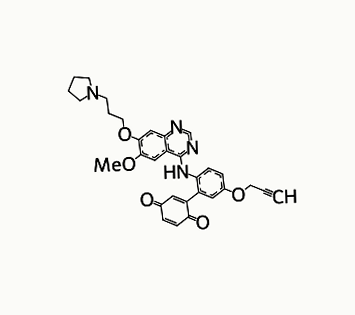 C#CCOc1ccc(Nc2ncnc3cc(OCCCN4CCCC4)c(OC)cc23)c(C2=CC(=O)C=CC2=O)c1